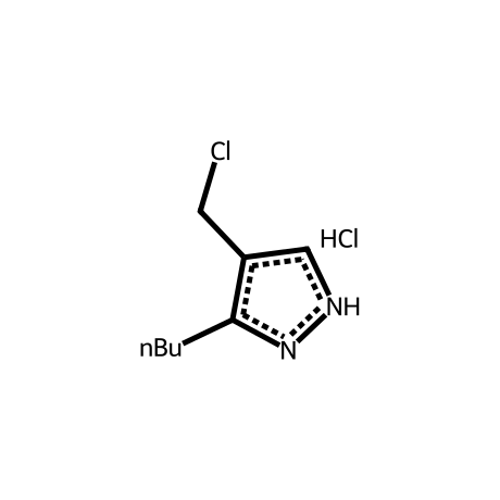 CCCCc1n[nH]cc1CCl.Cl